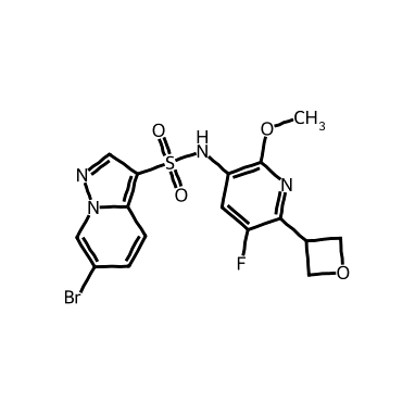 COc1nc(C2COC2)c(F)cc1NS(=O)(=O)c1cnn2cc(Br)ccc12